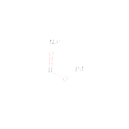 CC(=O)[O-].[Na+].[Pd]